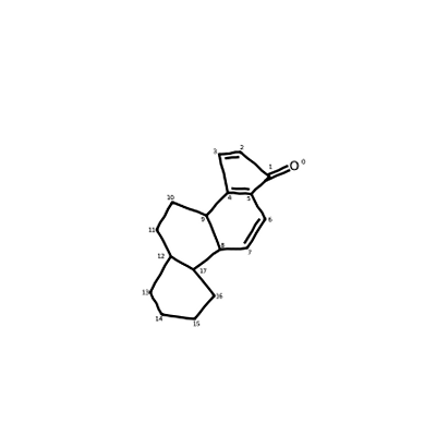 O=C1C=CC2=C1C=CC1C2CCC2CCCCC21